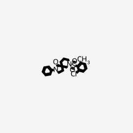 Cc1cccc(Cl)c1S(=O)(=O)N1CCCC2(CCN(c3ccccc3)C2=O)C1